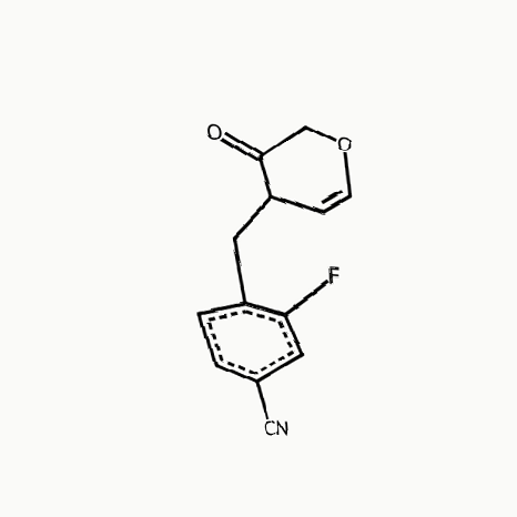 N#Cc1ccc(CC2C=COCC2=O)c(F)c1